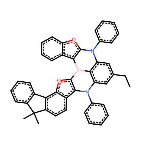 CCc1cc2c3c(c1)N(c1ccccc1)c1c(oc4c5c(ccc14)C(C)(C)c1ccccc1-5)B3c1c(oc3ccccc13)N2c1ccccc1